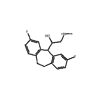 CNCC(O)C1c2cc(F)ccc2CCc2ccc(F)cc21